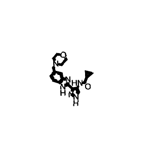 O=C(Nc1c[nH]nc1-c1nc2cc(CN3CCOCC3)ccc2[nH]1)C1CC1